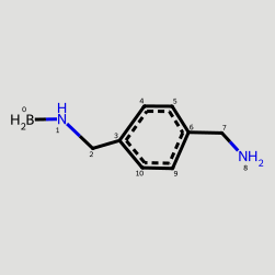 BNCc1ccc(CN)cc1